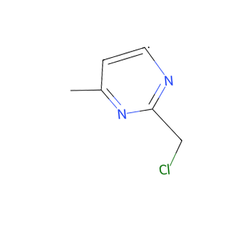 Cc1c[c]nc(CCl)n1